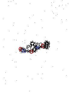 CCOC(=O)c1c(-c2ccccc2C(C)C)c2cc(OCCCCN3CCOCC3)ccc2n1CCCOc1cccc2ccccc12